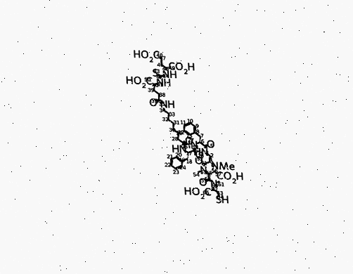 CN[C@@H](CNC(=O)[C@H](Cc1ccccc1)NC(=O)[C@H](Cc1ccccc1)NC(=O)CCCCCCCNC(=O)CC[C@@H](NC(=S)N[C@H](CCC(=O)O)C(=O)O)C(=O)O)C(=O)N(C)[C@@H](CC(=O)O)C(=O)N(C)[C@@H](CS)C(=O)O